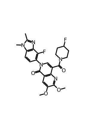 COc1cc2c(=O)n(-c3ccc4c(nc(C)n4C)c3F)cc(C(=O)N3CCC(F)CC3)c2nc1OC